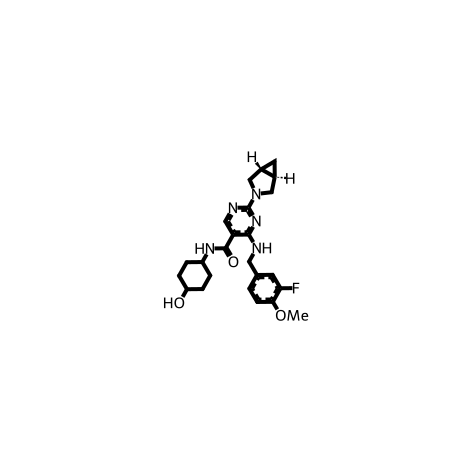 COc1ccc(CNc2nc(N3C[C@@H]4C[C@H]4C3)ncc2C(=O)NC2CCC(O)CC2)cc1F